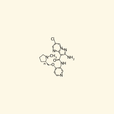 CN1CCC[C@@H]1COc1ccncc1NC(=O)c1c(N)nn2cc(Cl)cnc12